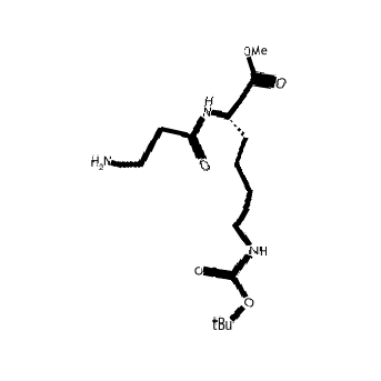 COC(=O)[C@H](CCCCNC(=O)OC(C)(C)C)NC(=O)CCN